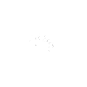 CCOc1ccc(N(C)C)c2c1C(=O)C1=C(O)C3(O)C(=O)C(C(C)=O)=C(O)C(N(C)C)C3CC1C2